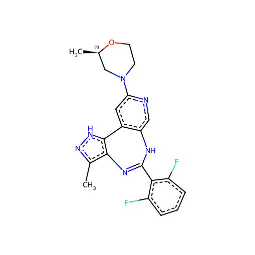 Cc1n[nH]c2c1N=C(c1c(F)cccc1F)Nc1cnc(N3CCO[C@H](C)C3)cc1-2